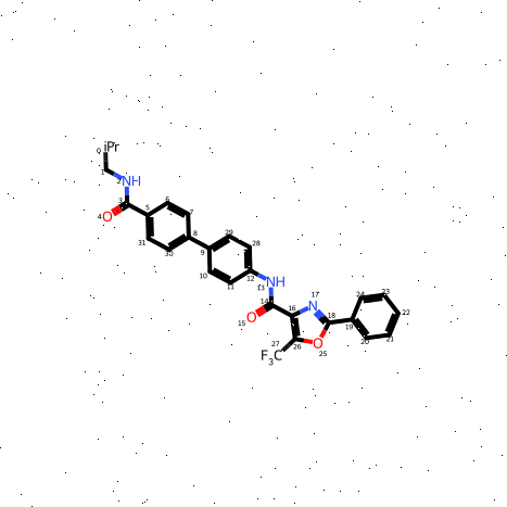 CC(C)CNC(=O)c1ccc(-c2ccc(NC(=O)c3nc(-c4ccccc4)oc3C(F)(F)F)cc2)cc1